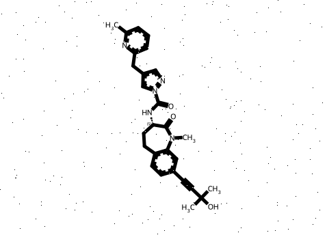 Cc1cccc(Cc2cnn(C(=O)N[C@H]3CCc4ccc(C#CC(C)(C)O)cc4N(C)C3=O)c2)n1